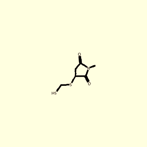 CN1C(=O)CC(SCS)C1=O